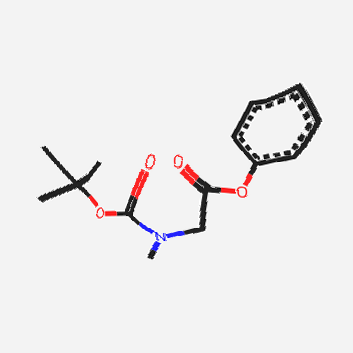 CN(CC(=O)Oc1ccccc1)C(=O)OC(C)(C)C